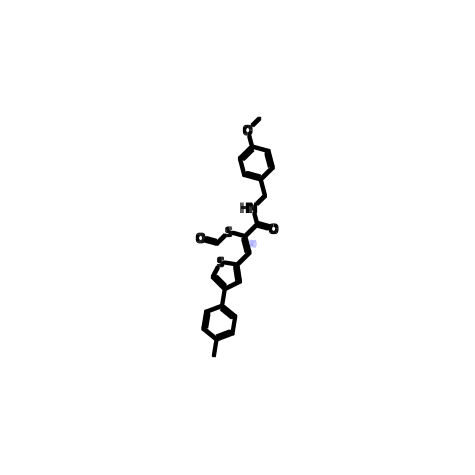 COc1ccc(CNC(=O)/C(=C/c2cc(-c3ccc(C)cc3)cs2)SC=O)cc1